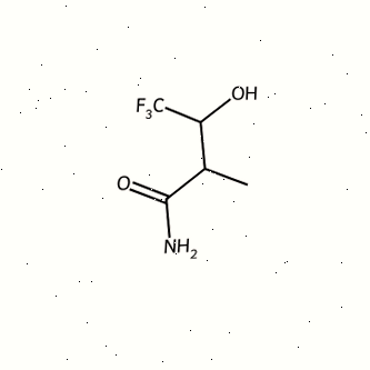 CC(C(N)=O)C(O)C(F)(F)F